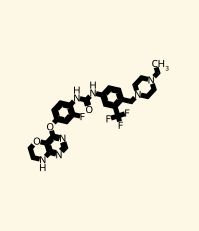 CCN1CCN(Cc2ccc(NC(=O)Nc3ccc(Oc4ncnc5c4OCCN5)cc3F)cc2C(F)(F)F)CC1